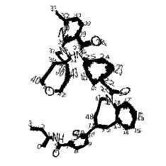 C=C(CC)NC(=O)c1ccc(C2=Cc3ccccc3N(C(=O)c3ccc(NC(=O)c4ccc(C)nc4N4CC5(CCOCC5)C4)cc3)CC2)s1